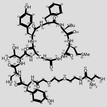 CCC(C)[C@@H]1NC(=O)[C@H](Cc2ccccc2)NC(=O)[C@H](Cc2ccc(O)cc2)NC(=O)[C@@H](NC(=O)[C@@H](NC(=O)[C@H](CO)NC(=O)[C@H](Cc2ccc(O)cc2)NC(=O)COCCOCCNC(=O)[C@@H](N)CS)C(C)O)CNC(=O)NNC(=O)[C@H](CCSC)NC1=O